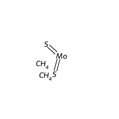 C.C.[S]=[Mo]=[S]